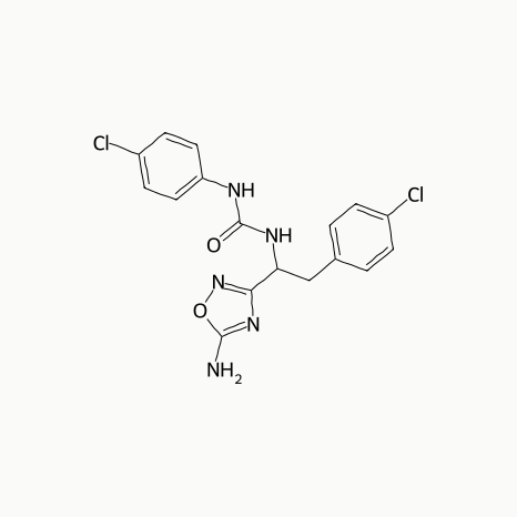 Nc1nc(C(Cc2ccc(Cl)cc2)NC(=O)Nc2ccc(Cl)cc2)no1